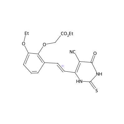 CCOC(=O)COc1c(/C=C/c2[nH]c(=S)[nH]c(=O)c2C#N)cccc1OCC